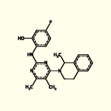 Cc1nc(Nc2ccc(F)cc2O)nc(N2CCc3ccccc3C2C)c1C